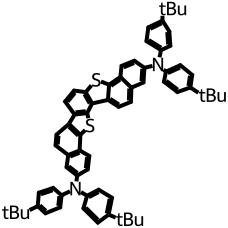 CC(C)(C)c1ccc(N(c2ccc(C(C)(C)C)cc2)c2ccc3c(ccc4c5ccc6sc7c8ccc(N(c9ccc(C(C)(C)C)cc9)c9ccc(C(C)(C)C)cc9)cc8ccc7c6c5sc34)c2)cc1